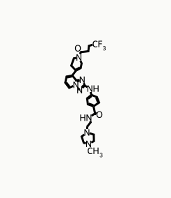 CN1CCN(CCNC(=O)c2ccc(Nc3nc4c(C5=CCN(C(=O)CCC(F)(F)F)CC5)cccn4n3)cc2)CC1